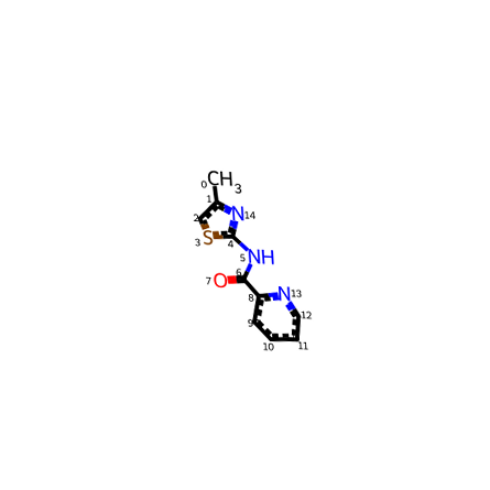 Cc1csc(NC(=O)c2ccccn2)n1